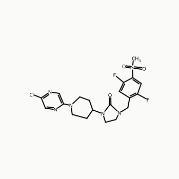 CS(=O)(=O)c1cc(F)c(CN2CCN(C3CCN(c4cnc(Cl)cn4)CC3)C2=O)cc1F